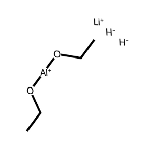 CC[O][Al+][O]CC.[H-].[H-].[Li+]